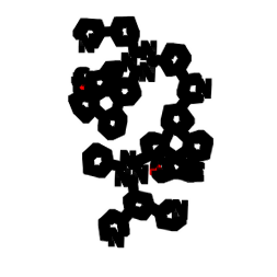 c1ccc(-c2nc(-c3cc(-c4cccnc4)cc(-c4cccnc4)c3)nc(-c3ccc4c(c3)C3(c5ccccc5-c5cc(-c6cncc(-c7cccc(-c8nc(-c9cccc(-c%10cccnc%10)c9)nc(-c9ccc%10c(c9)C9(c%11ccccc%11-c%11ccccc%11-%10)c%10ccccc%10-c%10ccccc%109)n8)c7)c6)ccc5-4)c4ccccc4-c4ccccc43)n2)cc1